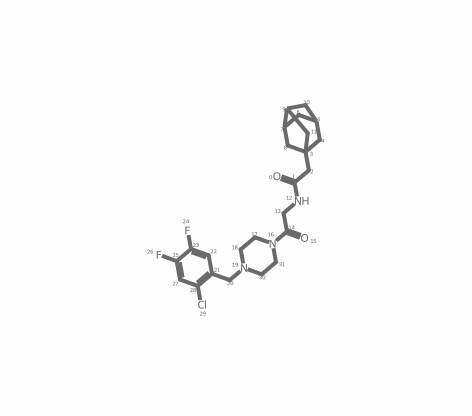 O=C(CC12CC3CC(C1)C(C3)C2)NCC(=O)N1CCN(Cc2cc(F)c(F)cc2Cl)CC1